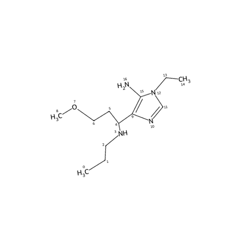 CCCNC(CCOC)c1ncn(CC)c1N